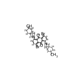 CC1CCC(CNc2ccc(Br)c3c2C(=O)c2c(Br)ccc(NCC4CCC(C)CC4)c2C3=O)CC1